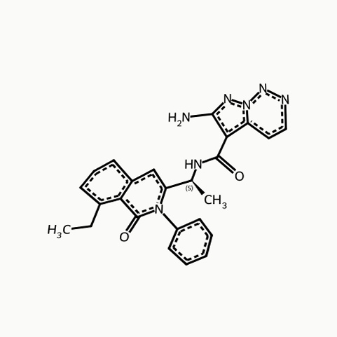 CCc1cccc2cc([C@H](C)NC(=O)c3c(N)nn4nnccc34)n(-c3ccccc3)c(=O)c12